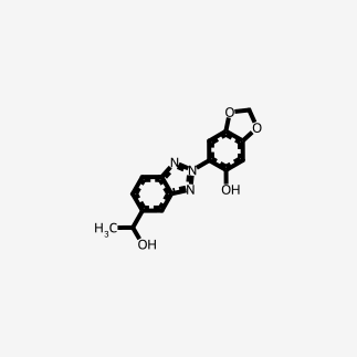 CC(O)c1ccc2nn(-c3cc4c(cc3O)OCO4)nc2c1